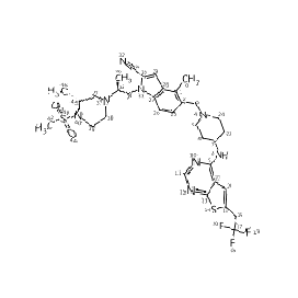 Cc1c(CN2CCC(Nc3ncnc4sc(CC(F)(F)F)cc34)CC2)ccc2c1cc(C#N)n2C[C@H](C)N1CCN(S(C)(=O)=O)[C@H](C)C1